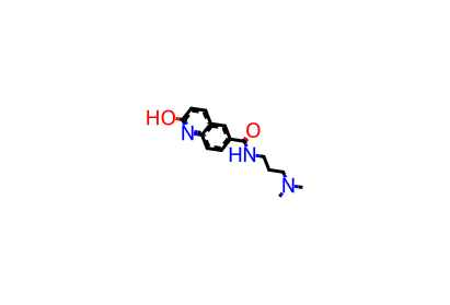 CN(C)CCCNC(=O)c1ccc2nc(O)ccc2c1